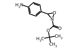 CC(C)(C)OC(=O)N1OC1c1ccc(N)cc1